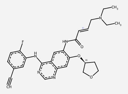 C#Cc1ccc(F)c(Nc2ncnc3cc(O[C@H]4CCOC4)c(NC(=O)/C=C/CN(CC)CC)cc23)c1